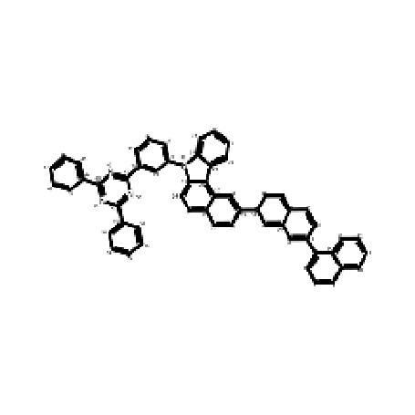 C1=c2ccc(-c3cccc4ccccc34)cc2=CC(c2ccc3ccc4c(c3c2)c2ccccc2n4-c2cccc(-c3nc(-c4ccccc4)nc(-c4ccccc4)n3)c2)C1